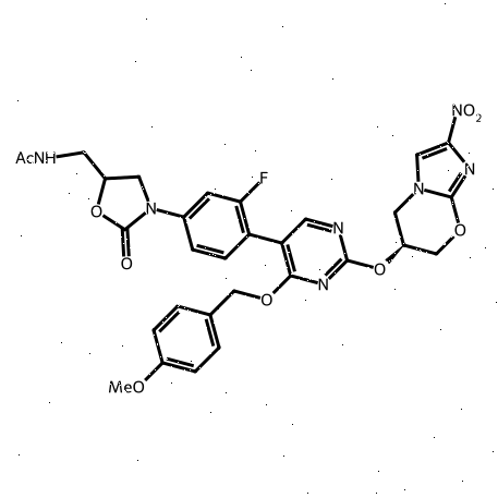 COc1ccc(COc2nc(O[C@@H]3COc4nc([N+](=O)[O-])cn4C3)ncc2-c2ccc(N3CC(CNC(C)=O)OC3=O)cc2F)cc1